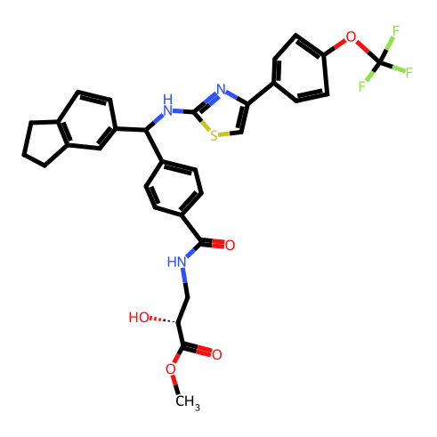 COC(=O)[C@H](O)CNC(=O)c1ccc(C(Nc2nc(-c3ccc(OC(F)(F)F)cc3)cs2)c2ccc3c(c2)CCC3)cc1